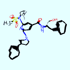 CN(c1cc(C(=O)N[C@H](CO)Cc2ccccc2)cc(N2CCC(c3ccccc3)C2)n1)S(C)(=O)=O